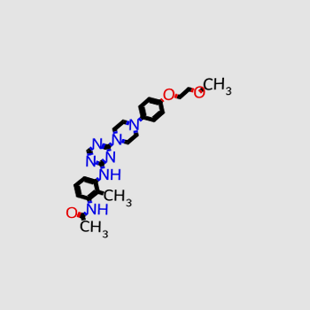 COCCOc1ccc(N2CCN(c3ncnc(Nc4cccc(NC(C)=O)c4C)n3)CC2)cc1